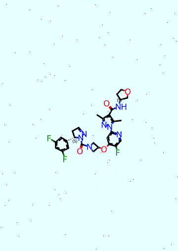 Cc1nn(-c2cc(OC3CN(C(=O)N4N=CC[C@H]4c4cc(F)cc(F)c4)C3)c(F)cn2)c(C)c1C(=O)N[C@H]1CCOC1